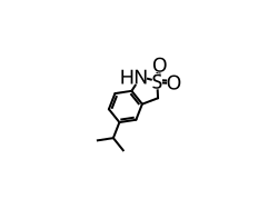 CC(C)c1ccc2c(c1)CS(=O)(=O)N2